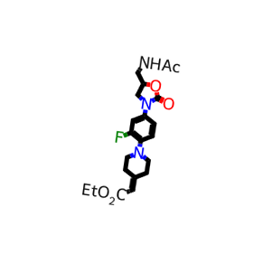 CCOC(=O)C=C1CCN(c2ccc(N3CC(CNC(C)=O)OC3=O)cc2F)CC1